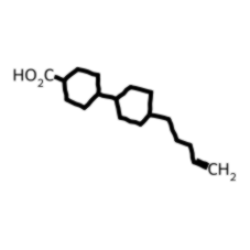 C=CCCCC1CCC(C2CCC(C(=O)O)CC2)CC1